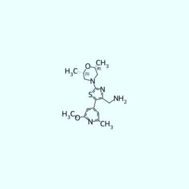 COc1cc(-c2sc(N3C[C@@H](C)O[C@@H](C)C3)nc2CN)cc(C)n1